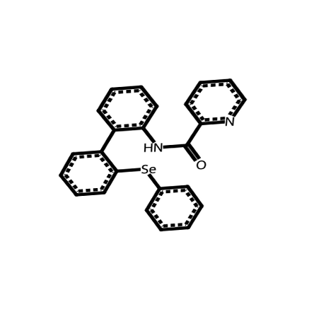 O=C(Nc1ccccc1-c1ccccc1[Se]c1ccccc1)c1ccccn1